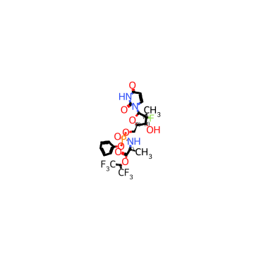 C[C@H](NP(=O)(OC[C@H]1OC(n2ccc(=O)[nH]c2=O)[C@](C)(F)[C@@H]1O)Oc1ccccc1)C(=O)OC(C(F)(F)F)C(F)(F)F